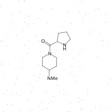 CNC1CCN(C(=O)C2CCCN2)CC1